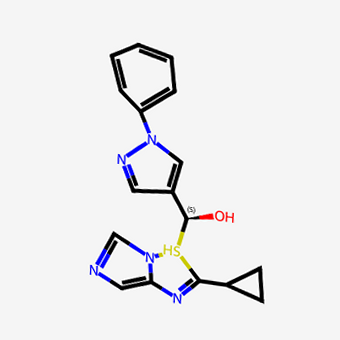 O[C@H](c1cnn(-c2ccccc2)c1)[SH]1C(C2CC2)=Nc2cncn21